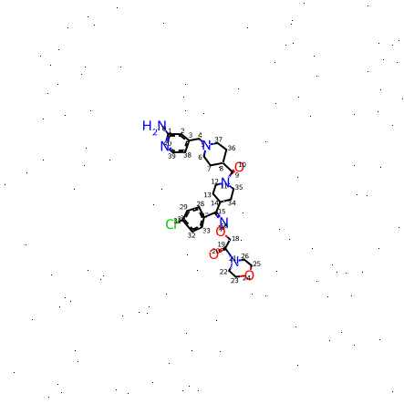 Nc1cc(CN2CCC(C(=O)N3CCC(C(=NOCC(=O)N4CCOCC4)c4ccc(Cl)cc4)CC3)CC2)ccn1